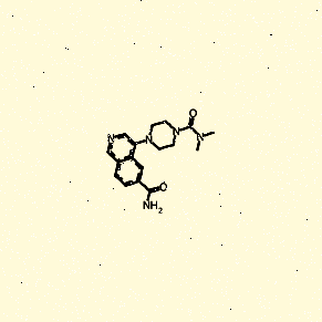 CN(C)C(=O)N1CCN(c2cncc3ccc(C(N)=O)cc23)CC1